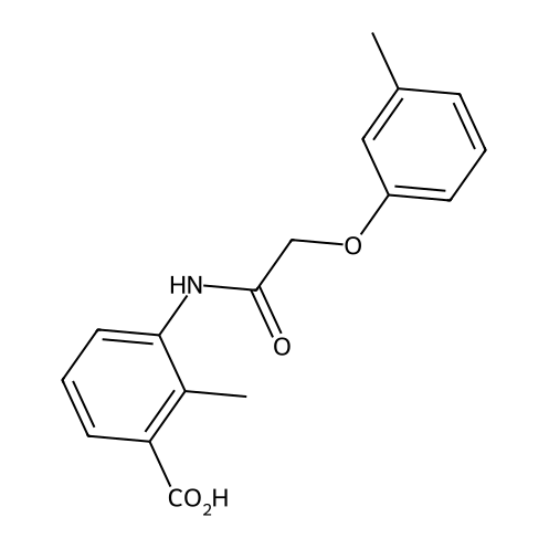 Cc1cccc(OCC(=O)Nc2cccc(C(=O)O)c2C)c1